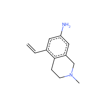 C=Cc1cc(N)cc2c1CCN(C)C2